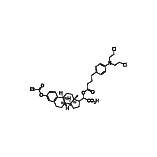 CCC(=O)Oc1ccc2c(c1)CC[C@@H]1[C@@H]2CC[C@]2(C)C(C(OC(=O)CCCc3ccc(N(CCCl)CCCl)cc3)C(=O)O)CC[C@@H]12